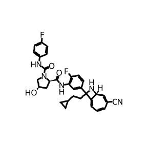 N#CC1=C[C@H]2NC(CCC3CC3)(c3ccc(F)c(NC(=O)[C@H]4C[C@@H](O)CN4C(=O)Nc4ccc(F)cc4)c3)C2=CC=C1